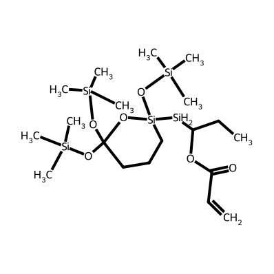 C=CC(=O)OC(CC)[SiH2][Si]1(O[Si](C)(C)C)CCCC(O[Si](C)(C)C)(O[Si](C)(C)C)O1